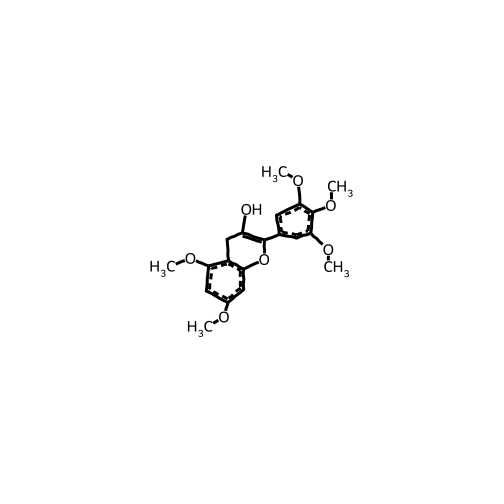 COc1cc(OC)c2c(c1)OC(c1cc(OC)c(OC)c(OC)c1)=C(O)C2